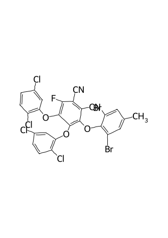 Cc1cc(Br)c(Oc2c(C#N)c(C#N)c(F)c(Oc3cc(Cl)ccc3Cl)c2Oc2cc(Cl)ccc2Cl)c(Br)c1